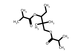 CCC(OC(=O)C(C)C)C(C)(C)COC(=O)C(C)C